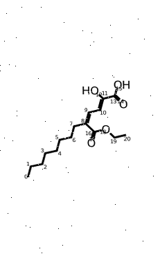 CCCCCCCCC(=CC=C(O)C(=O)O)C(=O)OCC